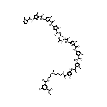 COC(=O)c1cc(F)cc(C(=O)NCCCN(C)CCCNC(=O)c2cc(NC(=O)c3cc(NC(=O)c4cc(NC(=O)c5nc(NC(=O)[C@@H](CCNC(=O)c6cc(NC(=O)c7cc(NC(=O)c8nc(NC(=O)c9nccn9C)cn8C)cn7C)cn6C)NC(C)=O)cn5C)cn4C)cn3C)cn2C)c1